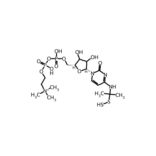 CC(C)(Nc1ccn([C@@H]2O[C@H](COP(=O)(O)OP(=O)(O)OCC[N+](C)(C)C)C(O)C2O)c(=O)n1)SS